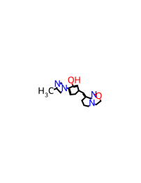 CC1CN(C2=CCC(/C=C3\CCCN4CCON=C34)C=C2O)C=N1